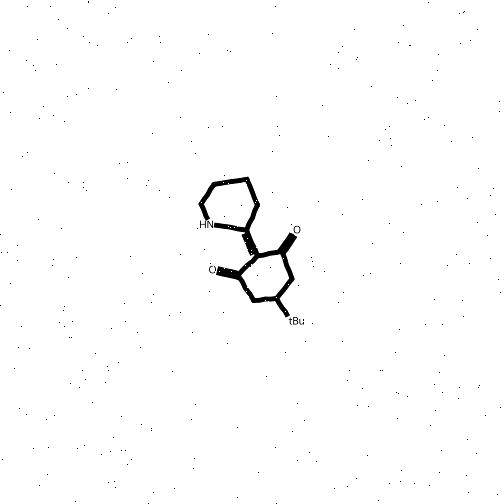 CC(C)(C)C1CC(=O)C(=C2CCCCN2)C(=O)C1